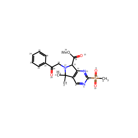 CCC1(C)c2cnc(S(C)(=O)=O)nc2C(C(=O)OC)N1CC(=O)c1ccccc1